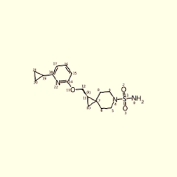 NS(=O)(=O)N1CCC2(CC1)C[C@H]2COc1cccc(C2CC2)n1